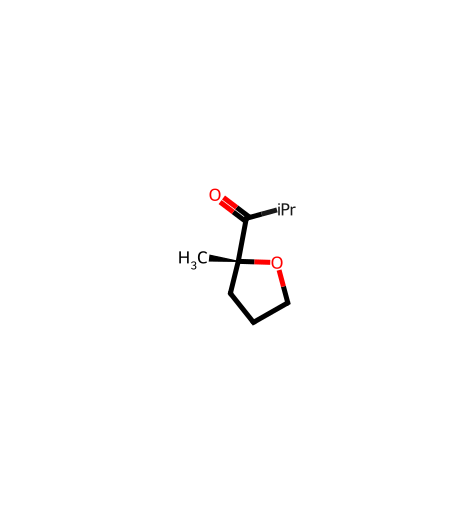 CC(C)C(=O)[C@@]1(C)CCCO1